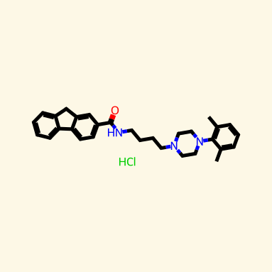 Cc1cccc(C)c1N1CCN(CCCCNC(=O)c2ccc3c(c2)Cc2ccccc2-3)CC1.Cl